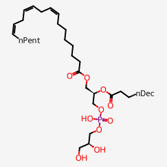 CCCCC/C=C\C/C=C\C/C=C\CCCCCCC(=O)OC[C@H](COP(=O)(O)OC[C@@H](O)CO)OC(=O)CCCCCCCCCCCC